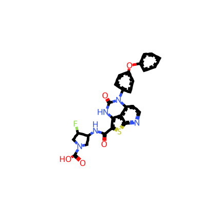 O=C(NC1CN(C(=O)O)CC1F)c1sc2nccc3c2c1NC(=O)N3c1ccc(Oc2ccccc2)cc1